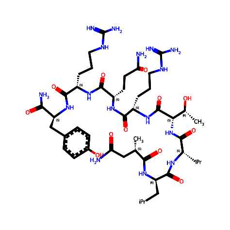 CC(C)C[C@@H](NC(=O)[C@@H](C)CC(N)=O)C(=O)N[C@H](C(=O)N[C@H](C(=O)N[C@@H](CCCNC(=N)N)C(=O)N[C@@H](CCC(N)=O)C(=O)N[C@@H](CCCNC(=N)N)C(=O)N[C@@H](Cc1ccc(O)cc1)C(N)=O)[C@@H](C)O)C(C)C